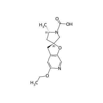 CCOc1cc2c(cn1)O[C@]1(C2)C[C@H](C)N(C(=O)O)C1